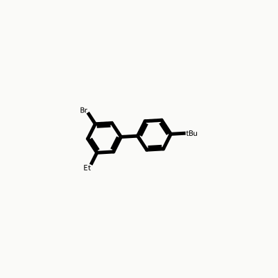 CCc1cc(Br)cc(-c2ccc(C(C)(C)C)cc2)c1